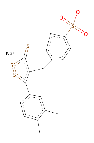 Cc1ccc(-c2ssc(=S)c2Cc2ccc(S(=O)(=O)[O-])cc2)cc1C.[Na+]